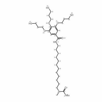 CCCCC(=O)N(C)CCCCCCCCCCCCNC(=O)c1cc(OCCCS)c(OCCCS)c(OCCCS)c1